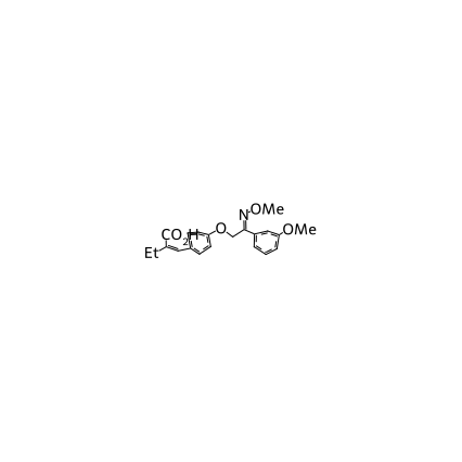 CCC(=Cc1ccc(OCC(=NOC)c2cccc(OC)c2)cc1)C(=O)O